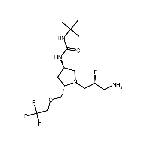 CC(C)(C)NC(=O)N[C@@H]1C[C@@H](COCC(F)(F)F)N(C[C@@H](F)CN)C1